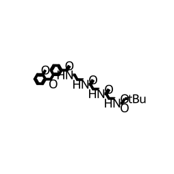 CC(C)(C)OC(=O)NCCC(=O)NCCC(=O)NCCCNC(=O)c1ccc2oc3ccccc3c(=O)c2c1